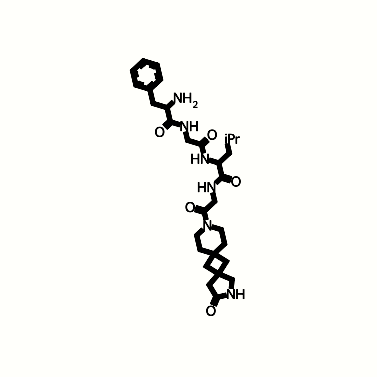 CC(C)CC(NC(=O)CNC(=O)C(N)Cc1ccccc1)C(=O)NCC(=O)N1CCC2(CC1)CC1(CNC(=O)C1)C2